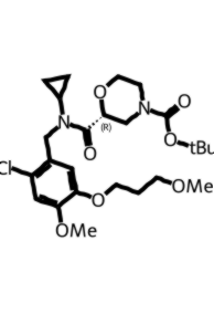 COCCCOc1cc(CN(C(=O)[C@H]2CN(C(=O)OC(C)(C)C)CCO2)C2CC2)c(Cl)cc1OC